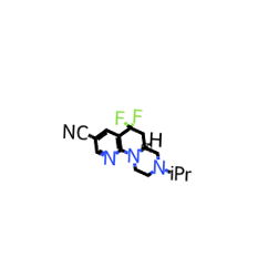 CC(C)N1CCN2c3ncc(C#N)cc3C(F)(F)C[C@H]2C1